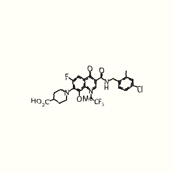 COc1c(N2CCC(C(=O)O)CC2)c(F)cc2c(=O)c(C(=O)NCc3ccc(Cl)cc3C)cn(CC(F)(F)F)c12